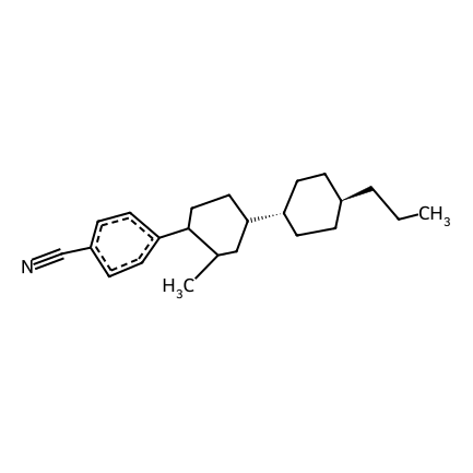 CCC[C@H]1CC[C@H](C2CCC(c3ccc(C#N)cc3)C(C)C2)CC1